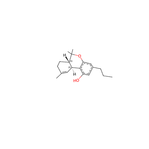 CCCc1cc(O)c2c(c1)OC(C)(C)[C@H]1CCC(C)=C[C@H]21